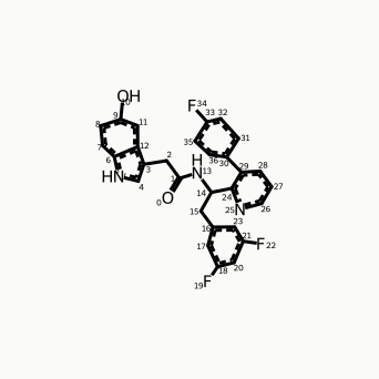 O=C(Cc1c[nH]c2ccc(O)cc12)NC(Cc1cc(F)cc(F)c1)c1ncccc1-c1ccc(F)cc1